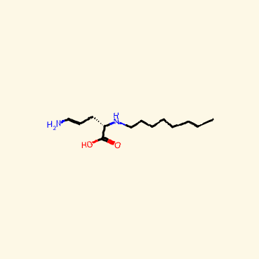 CCCCCCCCN[C@@H](CCCN)C(=O)O